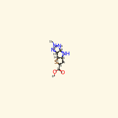 COC(=O)c1cc2[nH]c3nn(C)nc3c2s1